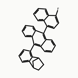 Fc1ccc(-c2c3ccccc3c(-c3cccc4c3C3CCC4C3)c3ccccc23)c2ccccc12